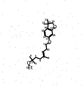 CCOC(C)(C)CC/C(C)=C/CCOc1ccc2c(c1)OCC2(C)C